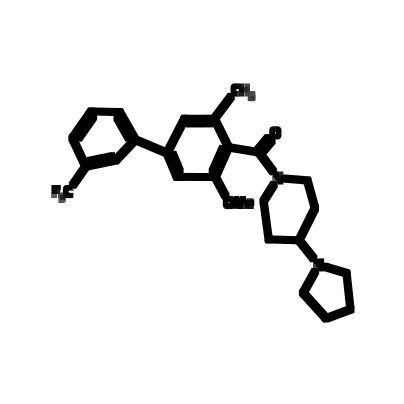 COc1cc(-c2cccc(C(F)(F)F)c2)cc(C)c1C(=O)N1CCC(N2CCCC2)CC1